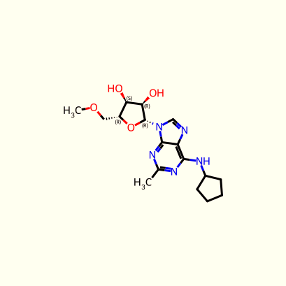 COC[C@H]1O[C@@H](n2cnc3c(NC4CCCC4)nc(C)nc32)[C@H](O)[C@@H]1O